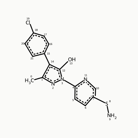 Cc1nn(-c2ccc(SN)cn2)c(O)c1-c1ccc(Cl)cc1